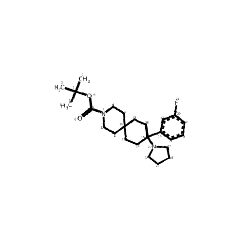 CC(C)(C)OC(=O)N1CCC2(CC1)CCC(c1cccc(F)c1)(N1CCCC1)CC2